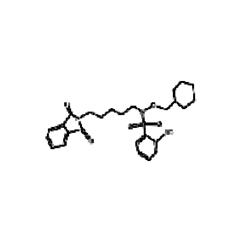 O=Nc1ccccc1S(=O)(=O)N(CCCCCN1C(=O)c2ccccc2C1=O)OCC1CCCCC1